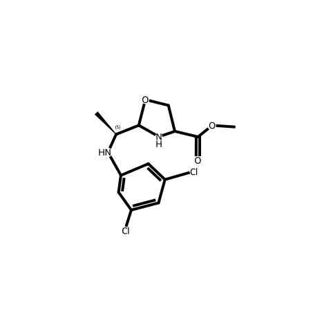 COC(=O)C1COC([C@H](C)Nc2cc(Cl)cc(Cl)c2)N1